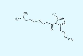 COCCC1=CC=C(C)C1C(=O)CCCCCCC(C)C